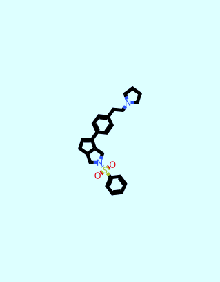 O=S(=O)(c1ccccc1)N1CC2CC=C(c3ccc(CCN4CCCC4)cc3)C2C1